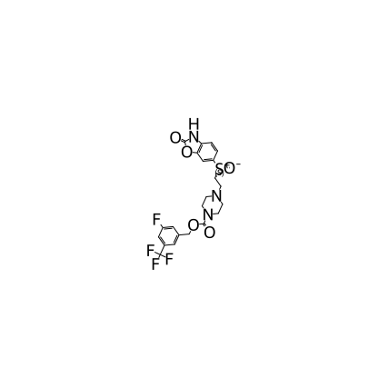 O=C(OCc1cc(F)cc(C(F)(F)F)c1)N1CCN(CC[S@@+]([O-])c2ccc3[nH]c(=O)oc3c2)CC1